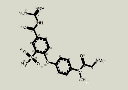 CNCC(=O)N(C)c1ccc(Oc2ccc(C(=O)NC(=N)N)cc2S(C)(=O)=O)cc1